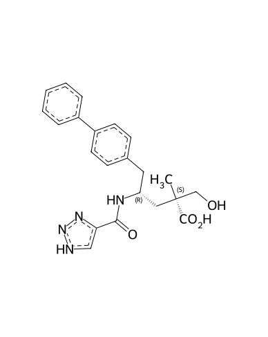 C[C@@](CO)(C[C@@H](Cc1ccc(-c2ccccc2)cc1)NC(=O)c1c[nH]nn1)C(=O)O